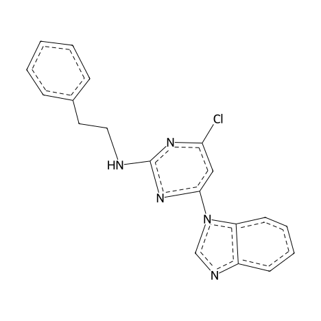 Clc1cc(-n2cnc3ccccc32)nc(NCCc2ccccc2)n1